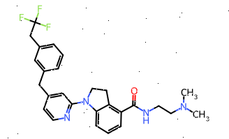 CN(C)CCNC(=O)c1cccc2c1CCN2c1cc(Cc2cccc(CC(F)(F)F)c2)ccn1